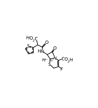 O=C(O)C1=C(F)CS[C@H]2C(NC(=O)C(C(=O)O)c3cccs3)C(=O)N12